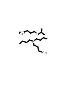 CC(C)OCCCN.CCCCN(CCCC)CCCN